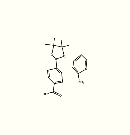 CC1(C)OB(c2ccc(C(=O)O)cc2)OC1(C)C.Nc1ccccn1